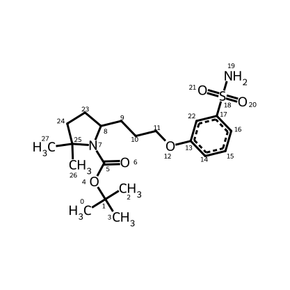 CC(C)(C)OC(=O)N1C(CCCOc2cccc(S(N)(=O)=O)c2)CCC1(C)C